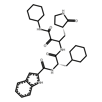 O=C(NC1CCCCC1)C(=O)C(C[C@@H]1CCNC1=O)NC(=O)[C@H](CC1CCCCC1)NC(=O)c1cc2ccccc2[nH]1